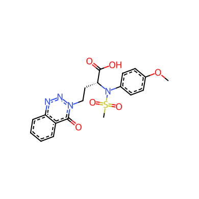 COc1ccc(N([C@H](CCn2nnc3ccccc3c2=O)C(=O)O)S(C)(=O)=O)cc1